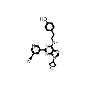 N#Cc1cncc(-c2nc(NCCc3ccc(O)cc3)c3ncn(C4COC4)c3n2)c1